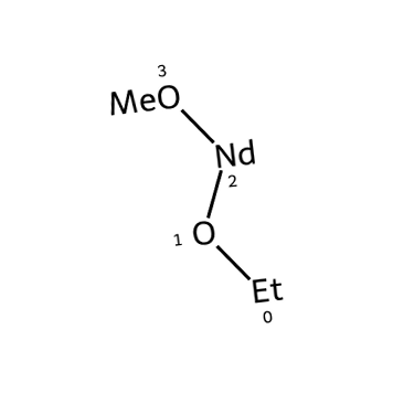 CC[O][Nd][O]C